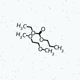 CCCOC(=O)OCC.COCCOC